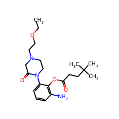 CCOCCN1CCN(c2cccc(N)c2OC(=O)CCC(C)(C)C)C(=O)C1